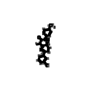 CC(C(=O)Nc1ccc(C(F)(F)F)cn1)n1nc(-c2cccc(Cl)c2)ccc1=O